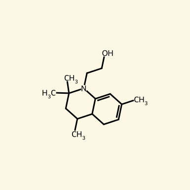 CC1=CCC2C(=C1)N(CCO)C(C)(C)CC2C